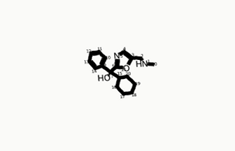 CNCc1cnc([C@](O)(c2ccccc2)C2CCCCC2)o1